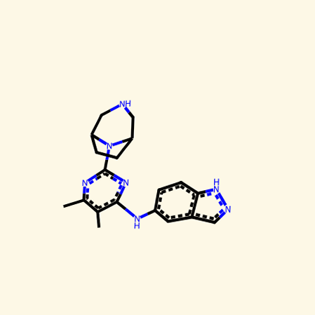 Cc1nc(N2C3CCC2CNC3)nc(Nc2ccc3[nH]ncc3c2)c1C